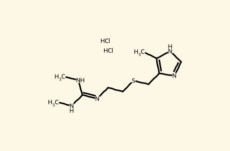 CNC(=NCCSCc1nc[nH]c1C)NC.Cl.Cl